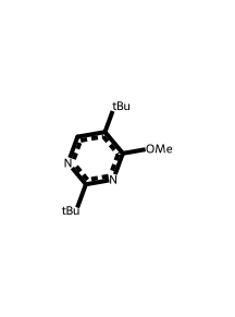 COc1nc(C(C)(C)C)ncc1C(C)(C)C